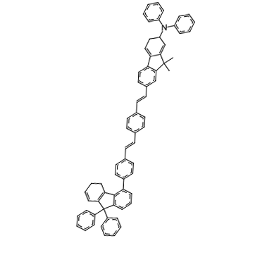 CC1(C)C2=CC(N(c3ccccc3)c3ccccc3)CC=C2c2ccc(/C=C/c3ccc(/C=C/c4ccc(-c5cccc6c5C5=C(C=CCC5)C6(c5ccccc5)c5ccccc5)cc4)cc3)cc21